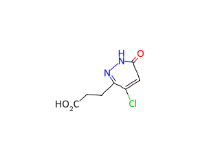 O=C(O)CCc1n[nH]c(=O)cc1Cl